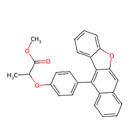 COC(=O)C(C)Oc1ccc(-c2c3ccccc3cc3oc4ccccc4c23)cc1